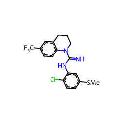 CSc1ccc(Cl)c(NC(=N)N2CCCc3cc(C(F)(F)F)ccc32)c1